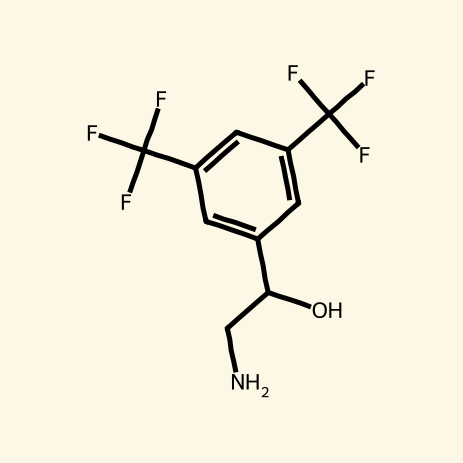 NCC(O)c1cc(C(F)(F)F)cc(C(F)(F)F)c1